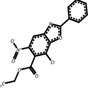 CCOC(=O)c1c([N+](=O)[O-])cc2nc(-c3ccccc3)oc2c1Cl